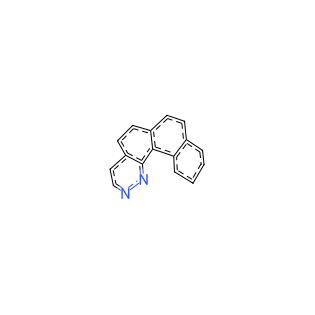 c1ccc2c(c1)ccc1ccc3ccnnc3c12